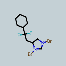 FC(F)(CC1CN(Br)CN1Br)C1CCCCC1